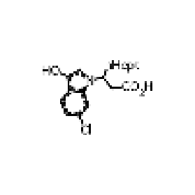 CCCCCCCC(CC(=O)O)n1cc(O)c2ccc(Cl)cc21